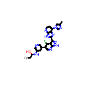 Cc1cn(-c2ccnc3[nH]c(-c4n[nH]c5ncc(-c6cncc(NC(O)CC(C)C)c6)c(F)c45)nc23)cn1